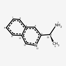 C[C@H](N)c1cc2ccccc2cn1